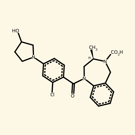 C[C@@H]1CN(C(=O)c2ccc(N3CCC(O)C3)cc2Cl)c2ccccc2CN1C(=O)O